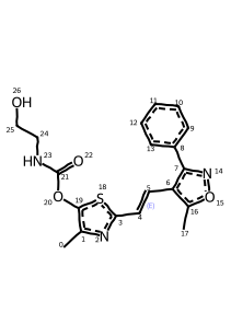 Cc1nc(/C=C/c2c(-c3ccccc3)noc2C)sc1OC(=O)NCCO